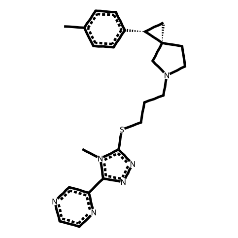 Cc1ccc([C@@H]2C[C@@]23CCN(CCCSc2nnc(-c4cnccn4)n2C)C3)cc1